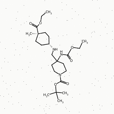 CCOC(=O)NC1(CN[C@H]2CC[C@](C)(C(=O)OCC)CC2)CCN(C(=O)OC(C)(C)C)CC1